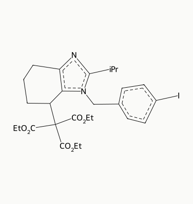 CCOC(=O)C(C(=O)OCC)(C(=O)OCC)C1CCCc2nc(C(C)C)n(Cc3ccc(I)cc3)c21